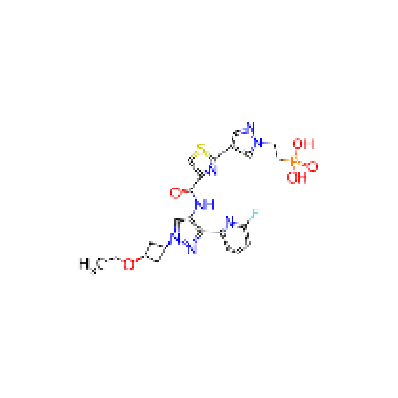 CCO[C@H]1C[C@@H](n2cc(NC(=O)c3csc(-c4cnn(CCP(=O)(O)O)c4)n3)c(-c3cccc(F)n3)n2)C1